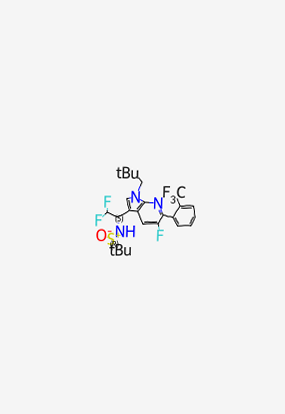 CC(C)(C)Cn1cc([C@H](N[S@@+]([O-])C(C)(C)C)C(F)F)c2cc(F)c(-c3ccccc3C(F)(F)F)nc21